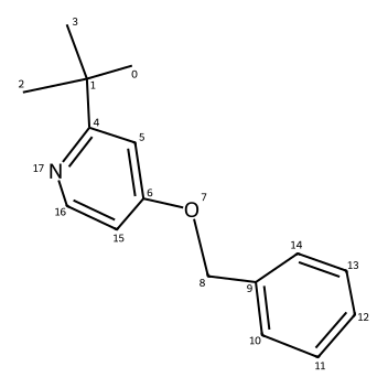 CC(C)(C)c1cc(OCc2ccccc2)ccn1